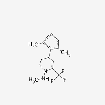 CNN1CCC(c2c(C)cccc2C)C=C1C(F)(F)F